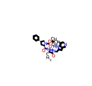 C[C@H](NC(=O)[C@H]1C[C@H](c2ccccc2)CN1C(=O)OC(C)(C)C)C(=O)NCc1cc2cnccc2[nH]1